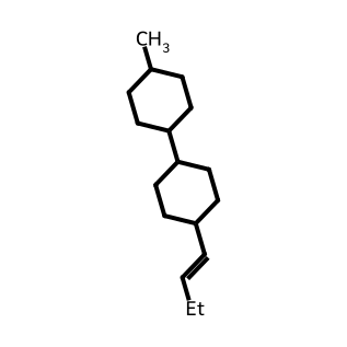 CC/C=C/C1CCC(C2CCC(C)CC2)CC1